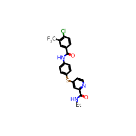 CCNC(=O)c1cc(Sc2ccc(NC(=O)c3ccc(Cl)c(C(F)(F)F)c3)cc2)ccn1